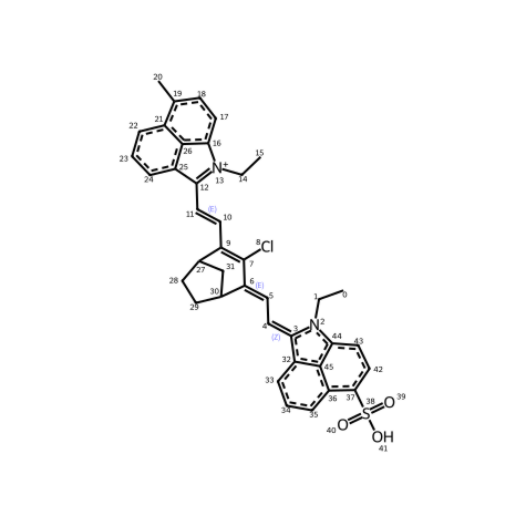 CCn1/c(=C\C=C2C(Cl)=C(/C=C/C3=[N+](CC)c4ccc(C)c5cccc3c45)C3CCC\2C3)c2cccc3c(S(=O)(=O)O)ccc1c32